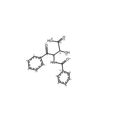 O=C(NC(C(=O)c1ccccc1)C(O)C(=O)O)c1ccccc1